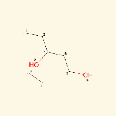 [CH2]C.[CH2]CC(O)CCO